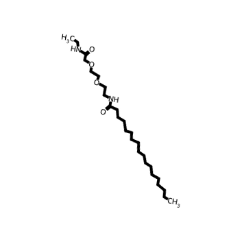 CCCCCCCCCCCCCCCCCC(=O)NCCOCCOCC(=O)NCC